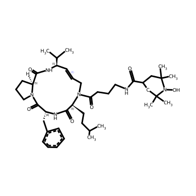 CC(C)CC[C@H]1C(=O)N[C@H](Cc2ccccc2)C(=O)N2CCC[C@H]2C(=O)N[C@@H](C(C)C)/C=C/CN1C(=O)CCCNC(=O)C1CC(C)(C)N(O)C(C)(C)C1